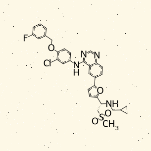 CS(=O)(=O)C[C@@H](NCC1CC1)c1ccc(-c2ccc3ncnc(Nc4ccc(OCc5cccc(F)c5)c(Cl)c4)c3c2)o1